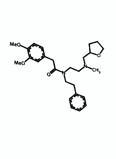 COc1ccc(CC(=O)N(CCc2ccccc2)CCN(C)CC2CCCO2)cc1OC